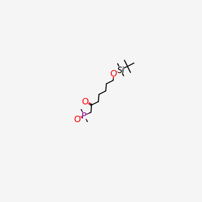 CC(C)(C)[Si](C)(C)OCCCCCC(=O)CP(C)(C)=O